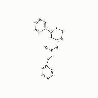 O=C(CCc1ccccc1)OC1CCCN(c2ccccc2)C1